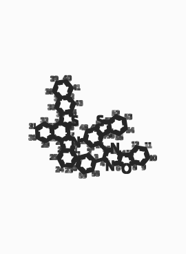 c1ccc(-c2nc3oc4ccccc4c3nc2-c2cc(-n3c4ccccc4c4c5ccccc5c5c6cc7ccccc7cc6sc5c43)cc3sc4ccccc4c23)cc1